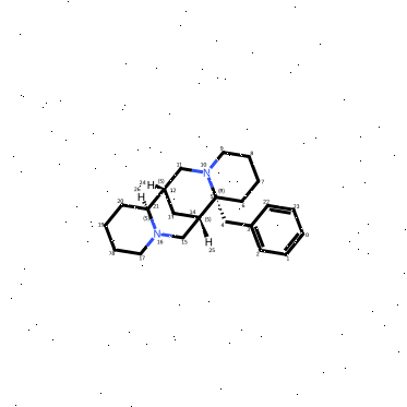 c1ccc(C[C@@]23CCCCN2C[C@@H]2C[C@H]3CN3CCCC[C@@H]23)cc1